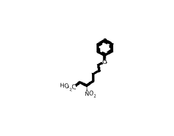 O=C(O)C[C@H](CCCCOc1ccccc1)[N+](=O)[O-]